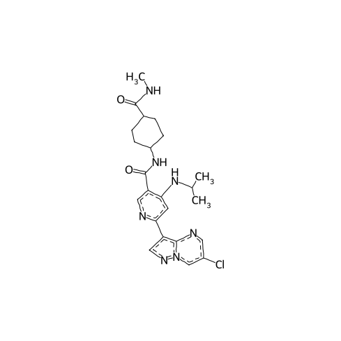 CNC(=O)C1CCC(NC(=O)c2cnc(-c3cnn4cc(Cl)cnc34)cc2NC(C)C)CC1